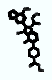 COc1cc(-c2c(C(C)C)c3c(C)c(C4CCN(C(=O)OC(C)(C)C)CC4)ncc3n2C(=O)OC(C)(C)C)cn2ncnc12